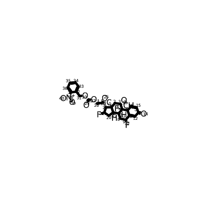 C[C@]12CC(=O)[C@@]3(F)[C@@H](CC(F)C4=CC(=O)C=C[C@@]43C)[C@@H]1CC(F)[C@@H]2C(=O)COC(=O)OCc1ccccc1[N+](=O)[O-]